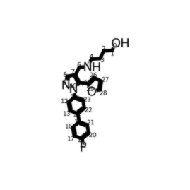 OCCCCNCc1cnn(-c2ccc(-c3ccc(F)cc3)cc2)c1-c1ccco1